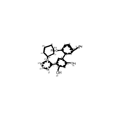 COc1ccc(C(C)C)cc1-c1cc(-c2nnnn2C2CCCCC2)c(O)cc1O